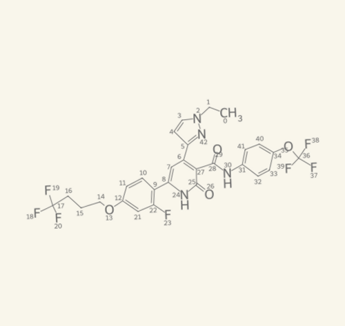 CCn1ccc(-c2cc(-c3ccc(OCCCC(F)(F)F)cc3F)[nH]c(=O)c2C(=O)Nc2ccc(OC(F)(F)F)cc2)n1